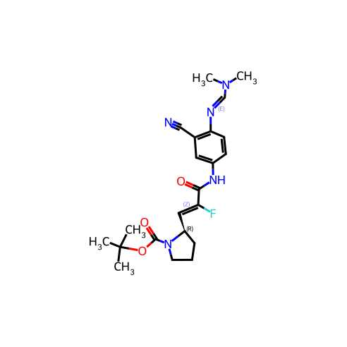 CN(C)/C=N/c1ccc(NC(=O)/C(F)=C/[C@H]2CCCN2C(=O)OC(C)(C)C)cc1C#N